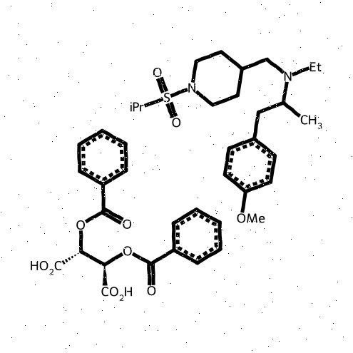 CCN(CC1CCN(S(=O)(=O)C(C)C)CC1)C(C)Cc1ccc(OC)cc1.O=C(O[C@@H](C(=O)O)[C@@H](OC(=O)c1ccccc1)C(=O)O)c1ccccc1